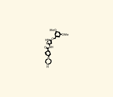 COc1cc(COc2cc(NC(=O)c3ccc(N4CCCNCC4)cc3)n[nH]2)cc(OC)c1